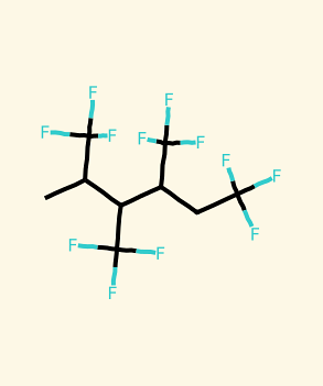 CC(C(C(CC(F)(F)F)C(F)(F)F)C(F)(F)F)C(F)(F)F